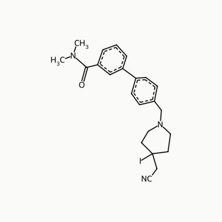 CN(C)C(=O)c1cccc(-c2ccc(CN3CCC(I)(CC#N)CC3)cc2)c1